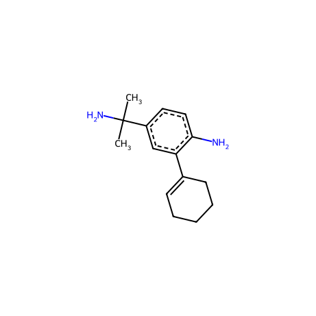 CC(C)(N)c1ccc(N)c(C2=CCCCC2)c1